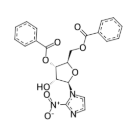 O=C(OC[C@H]1O[C@@H](n2ccnc2[N+](=O)[O-])[C@H](O)[C@@H]1OC(=O)c1ccccc1)c1ccccc1